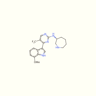 COc1cccc2c(-c3nc(N[C@H]4CCCCNC4)ncc3C(F)(F)F)c[nH]c12